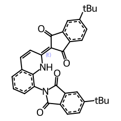 CC(C)(C)c1ccc2c(c1)C(=O)/C(=C1\C=Cc3cccc(N4C(=O)c5ccc(C(C)(C)C)cc5C4=O)c3N1)C2=O